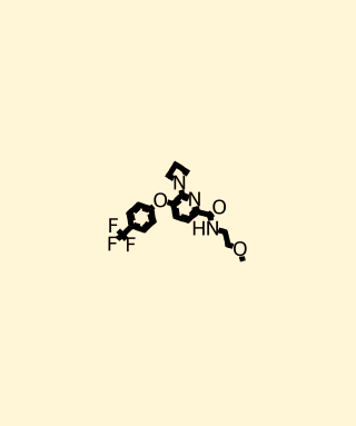 COCCNC(=O)c1ccc(Oc2ccc(C(F)(F)F)cc2)c(N2CCC2)n1